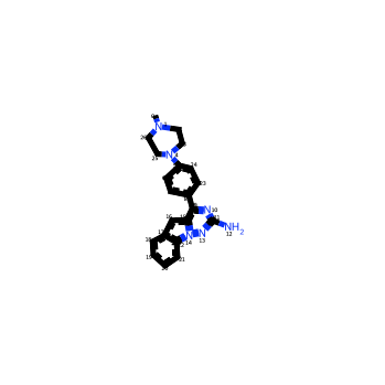 CN1CCN(c2ccc(-c3nc(N)nn4c3cc3ccccc34)cc2)CC1